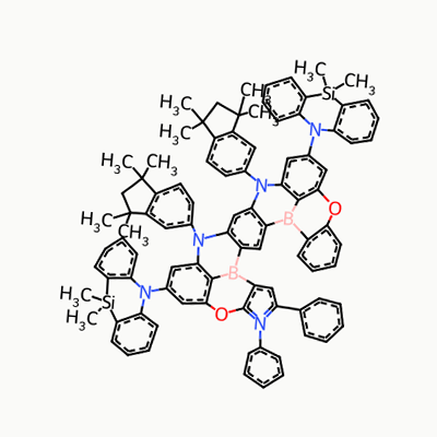 CC1(C)CC(C)(C)c2cc(N3c4cc5c(cc4B4c6ccccc6Oc6cc(N7c8ccccc8[Si](C)(C)c8ccccc87)cc3c64)B3c4cc(-c6ccccc6)n(-c6ccccc6)c4Oc4cc(N6c7ccccc7[Si](C)(C)c7ccccc76)cc(c43)N5c3ccc4c(c3)C(C)(C)CC4(C)C)ccc21